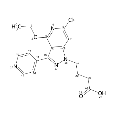 CCOc1nc(Cl)cc2c1c(-c1ccncc1)nn2CCCC(=O)O